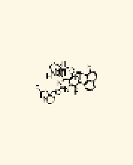 C#Cc1c(F)ccc2cccc(-c3nc4c5c(nc(OC[C@@]67CCCN6C[C@H](F)C7)nc5c3F)N3C[C@H]5CC[C@H](N5)[C@H]3CO4)c12